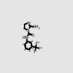 NC1=NCCN1C(=S)Nc1cccc(C(F)(F)F)c1